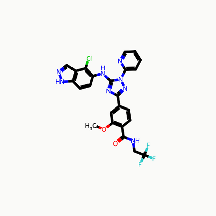 COc1cc(-c2nc(Nc3ccc4[nH]ncc4c3Cl)n(-c3ccccn3)n2)ccc1C(=O)NCC(F)(F)F